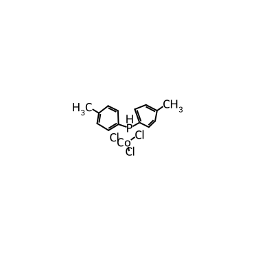 Cc1ccc(Pc2ccc(C)cc2)cc1.[Cl][Co]([Cl])[Cl]